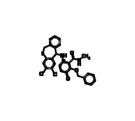 CNC(=O)c1c(OCc2ccccc2)c(=O)ccn1NC1c2ccccc2CSc2cc(Cl)c(Cl)cc21